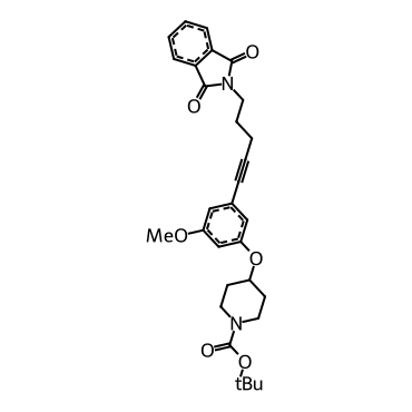 COc1cc(C#CCCCN2C(=O)c3ccccc3C2=O)cc(OC2CCN(C(=O)OC(C)(C)C)CC2)c1